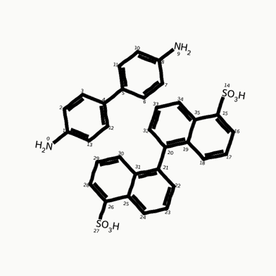 Nc1ccc(-c2ccc(N)cc2)cc1.O=S(=O)(O)c1cccc2c(-c3cccc4c(S(=O)(=O)O)cccc34)cccc12